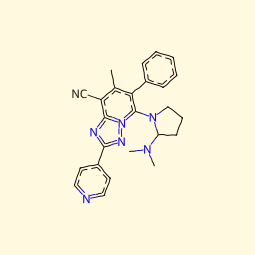 Cc1c(-c2ccccc2)c(N2CCCC2N(C)C)n2nc(-c3ccncc3)nc2c1C#N